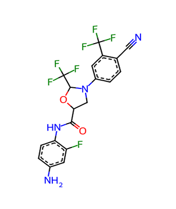 N#Cc1ccc(N2CC(C(=O)Nc3ccc(N)cc3F)OC2C(F)(F)F)cc1C(F)(F)F